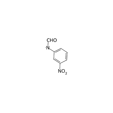 O=C[N]c1cccc([N+](=O)[O-])c1